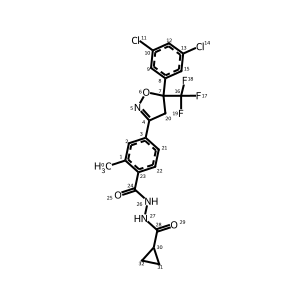 Cc1cc(C2=NOC(c3cc(Cl)cc(Cl)c3)(C(F)(F)F)C2)ccc1C(=O)NNC(=O)C1CC1